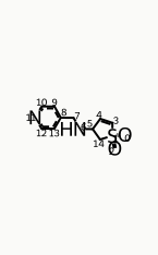 O=S1(=O)C=CC(NCc2ccncc2)C1